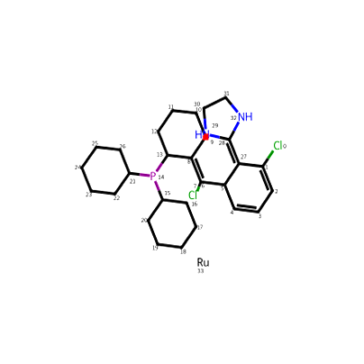 ClC1=CC=CC(C(Cl)=C2CCCCC2P(C2CCCCC2)C2CCCCC2)C1=C1NCCN1.[Ru]